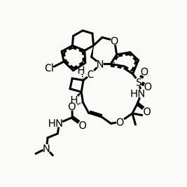 CN(C)CCNC(=O)O[C@H]1/C=C/COC(C)(C)C(=O)NS(=O)(=O)c2ccc3c(c2)N(C[C@@H]2CC[C@H]21)C[C@@]1(CCCc2cc(Cl)ccc21)CO3